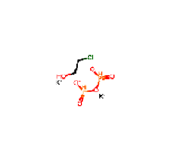 O=[PH]([O-])O[PH](=O)[O-].OCCCl.[K+].[K+]